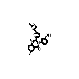 Cc1nc(-c2ccc(C3N(C)c4ccc(F)cc4C(=O)N3c3cccc(O)c3)s2)cs1